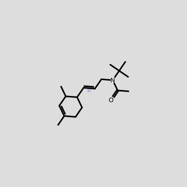 CC(=O)N(C/C=C/C1CCC(C)=CC1C)C(C)(C)C